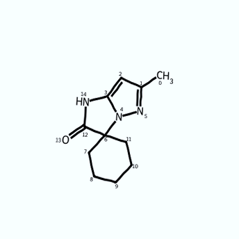 Cc1cc2n(n1)C1(CCCCC1)C(=O)N2